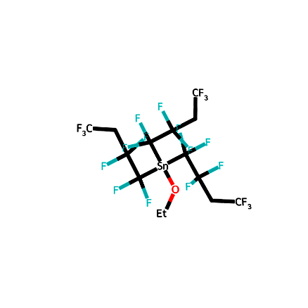 CC[O][Sn]([C](F)(F)C(F)(F)CC(F)(F)F)([C](F)(F)C(F)(F)CC(F)(F)F)[C](F)(F)C(F)(F)CC(F)(F)F